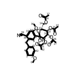 COc1ccc(Cc2cc([C@]3(O)O[C@H](COC(C)=O)[C@@H](OC(C)=O)[C@H](OC(C)=O)[C@H]3OC(C)=O)c(OC)cc2C#N)cc1